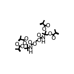 C=C(C)C(=O)OCC(C)(COC(=O)C(=C)C)NC(=O)OCOC(=O)NC(C)(COC(=O)C(=C)C)COC(=O)C(=C)C